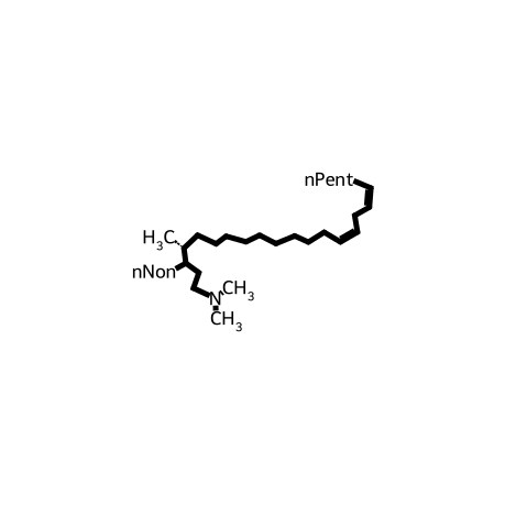 CCCCC/C=C\C/C=C\CCCCCCCCC[C@@H](C)C(CCCCCCCCC)CCN(C)C